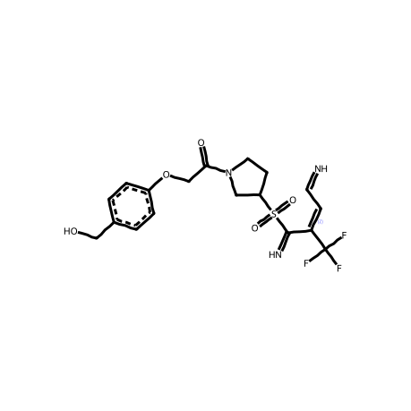 N=C/C=C(\C(=N)S(=O)(=O)C1CCN(C(=O)COc2ccc(CO)cc2)C1)C(F)(F)F